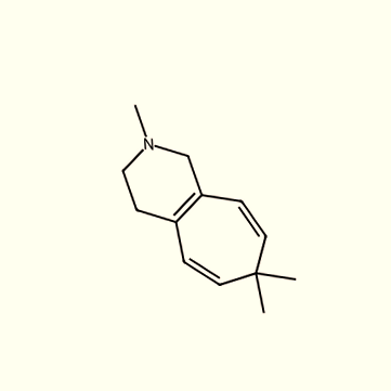 CN1CCC2=C(C=CC(C)(C)C=C2)C1